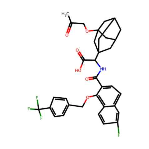 CC(=O)COC12CC3CC(C1)CC(C(NC(=O)c1ccc4cc(F)ccc4c1OCc1ccc(C(F)(F)F)cc1)C(=O)O)(C3)C2